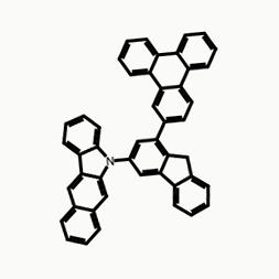 c1ccc2c(c1)Cc1c(-c3ccc4c5ccccc5c5ccccc5c4c3)cc(-n3c4ccccc4c4cc5ccccc5cc43)cc1-2